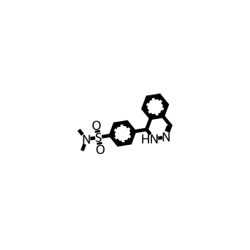 CN(C)S(=O)(=O)c1ccc(C2NN=Cc3ccccc32)cc1